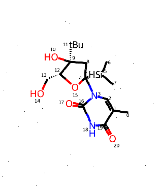 Cc1cn([C@@]2([SiH](C)C)C[C@@](O)(C(C)(C)C)[C@@H](CO)O2)c(=O)[nH]c1=O